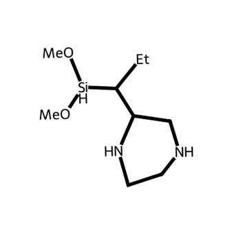 CCC(C1CNCCN1)[SiH](OC)OC